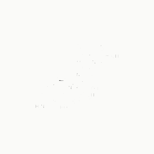 Nc1ccc(C[C@@H](CN(CCN(CC(=O)O)CC(=O)O)CC(=O)O)N(CC(=O)O)CC(=O)O)cc1